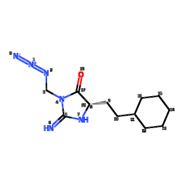 [N-]=[N+]=NCN1C(=N)N[C@@H](CCC2CCCCC2)C1=O